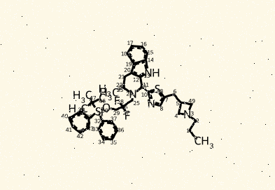 CCCN1CC(Cc2cnc([C@@H]3c4[nH]c5ccccc5c4C[C@@H](C)N3CC(F)(F)CO[Si](c3ccccc3)(c3ccccc3)C(C)(C)C)s2)C1